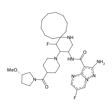 CO[C@H]1CCN(C(=O)C2CCN(C3C(NC(=O)c4c(N)nn5cc(F)cnc45)CNC4(CCCCCCCCC4)C3F)CC2)C1